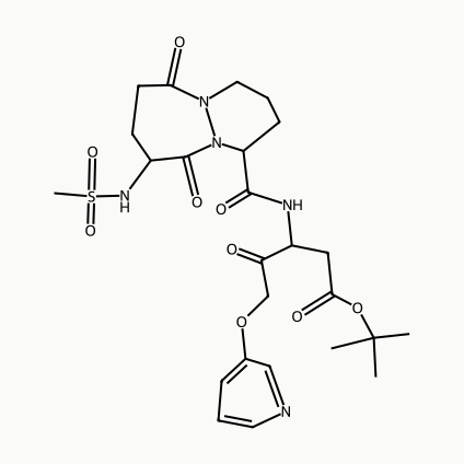 CC(C)(C)OC(=O)CC(NC(=O)C1CCCN2C(=O)CCC(NS(C)(=O)=O)C(=O)N12)C(=O)COc1cccnc1